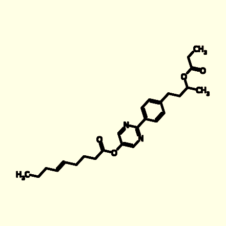 CCCC=CCCCC(=O)Oc1cnc(-c2ccc(CCC(C)OC(=O)CC)cc2)nc1